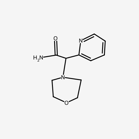 NC(=O)C(c1ccccn1)N1CCOCC1